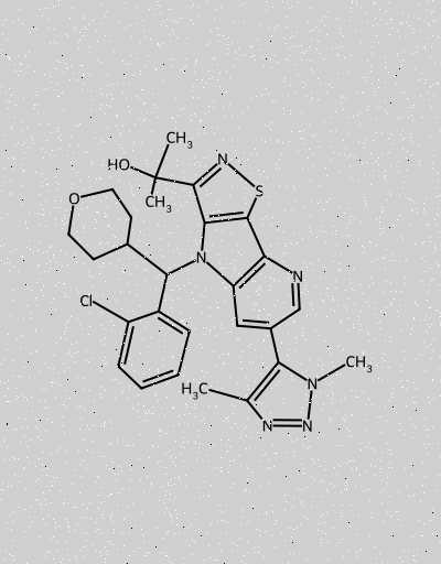 Cc1nnn(C)c1-c1cnc2c3snc(C(C)(C)O)c3n(C(c3ccccc3Cl)C3CCOCC3)c2c1